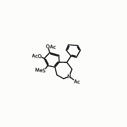 CSc1c2c(cc(OC(C)=O)c1OC(C)=O)C(c1ccccc1)CN(C(C)=O)CC2